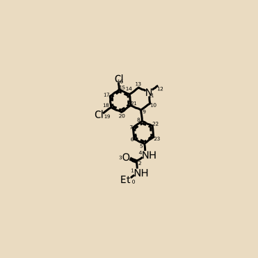 CCNC(=O)Nc1ccc(C2CN(C)Cc3c(Cl)cc(Cl)cc32)cc1